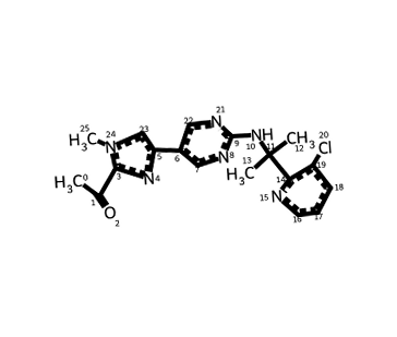 CC(=O)c1nc(-c2cnc(NC(C)(C)c3ncccc3Cl)nc2)cn1C